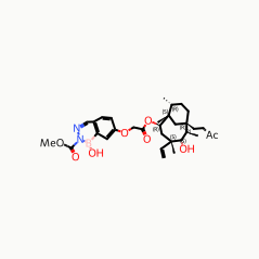 C=C[C@]1(C)C[C@@H](OC(=O)COc2ccc3c(c2)B(O)N(C(=O)OC)N=C3)[C@@]2(C)C[C@](CCC(C)=O)(CC[C@H]2C)[C@@H](C)[C@@H]1O